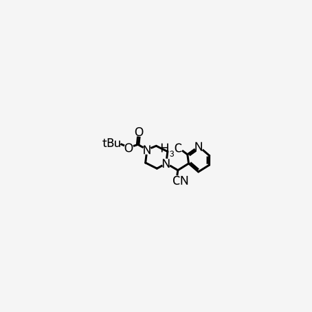 Cc1ncccc1C(C#N)N1CCN(C(=O)OC(C)(C)C)CC1